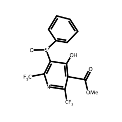 COC(=O)c1c(C(F)(F)F)nc(C(F)(F)F)c([S+]([O-])c2ccccc2)c1O